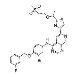 CC(OCCS(C)(=O)=O)c1nc(-c2cc3c(Nc4ccc(OCc5cccc(F)c5)c(Br)c4)ncnc3cn2)cs1